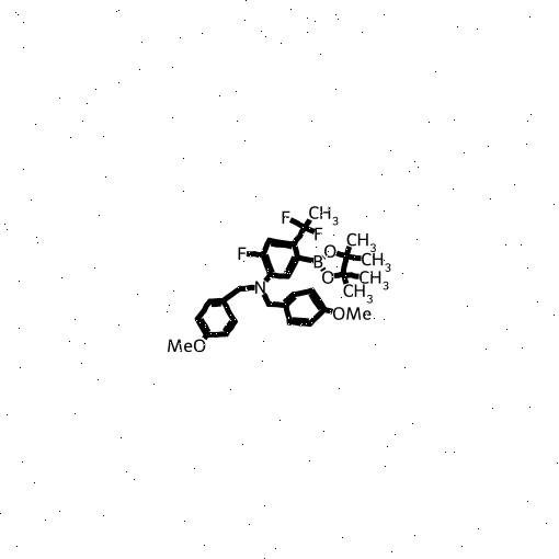 COc1ccc(CN(Cc2ccc(OC)cc2)c2cc(B3OC(C)(C)C(C)(C)O3)c(C(C)(F)F)cc2F)cc1